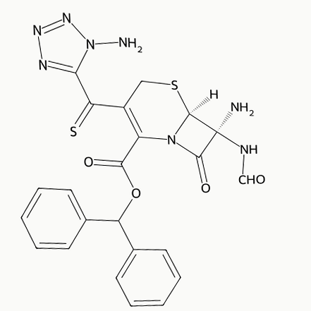 Nn1nnnc1C(=S)C1=C(C(=O)OC(c2ccccc2)c2ccccc2)N2C(=O)[C@](N)(NC=O)[C@@H]2SC1